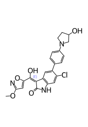 COc1cc(/C(O)=C2\C(=O)Nc3cc(Cl)c(-c4ccc(N5CCC(O)C5)cc4)cc32)on1